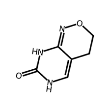 O=C1NC=C2CCON=C2N1